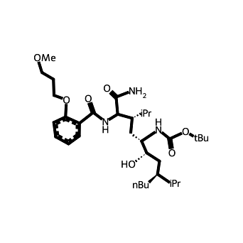 CCCC[C@@H](C[C@H](O)[C@H](C[C@@H](C(C)C)C(NC(=O)c1ccccc1OCCCOC)C(N)=O)NC(=O)OC(C)(C)C)C(C)C